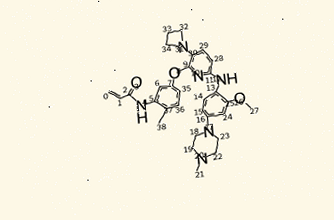 C=CC(=O)Nc1cc(Oc2nc(Nc3ccc(N4CCN(C)CC4)cc3OC)ccc2N2CCC2)ccc1C